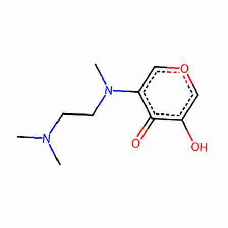 CN(C)CCN(C)c1cocc(O)c1=O